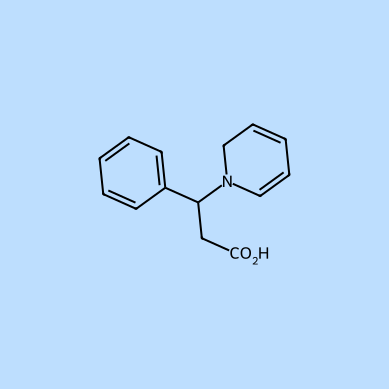 O=C(O)CC(c1ccccc1)N1C=CC=CC1